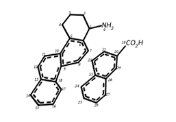 NC1CCCc2c1ccc1c2ccc2ccccc21.O=C(O)c1ccc2ccccc2c1